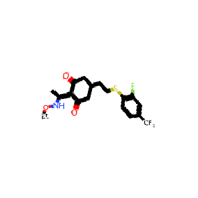 CCONC(C)=C1C(=O)CC(CCSc2ccc(C(F)(F)F)cc2F)CC1=O